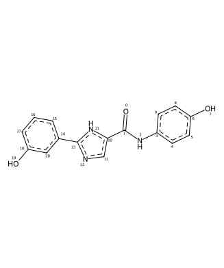 O=C(Nc1ccc(O)cc1)c1cnc(-c2cccc(O)c2)[nH]1